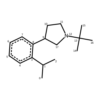 CC(C)c1ccccc1C1CCN(C(C)(C)C)C1